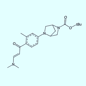 Cc1cc(N2CC3CC2CN3C(=O)OC(C)(C)C)ccc1C(=O)/C=C/N(C)C